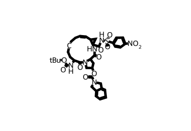 CC(C)(C)OC(=O)NC1CCCCCC=CC2CC2(C(=O)NS(=O)(=O)c2ccc([N+](=O)[O-])cc2)NC(=O)C2CC(OC(=O)N3Cc4ccccc4C3)CN2C1=O